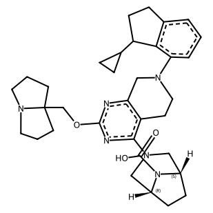 O=C(O)N1[C@@H]2CC[C@H]1CN(c1nc(OCC34CCCN3CCC4)nc3c1CCN(c1cccc4c1C(C1CC1)CC4)C3)C2